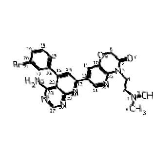 CN(C)CCN1C(=O)COc2cc(-c3cc(-c4cccc(Br)c4)c4c(N)ncnc4n3)cnc21